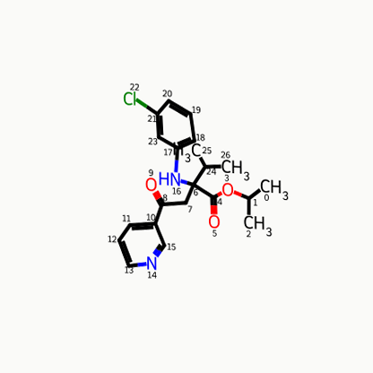 CC(C)OC(=O)C(CC(=O)c1cccnc1)(Nc1cccc(Cl)c1)C(C)C